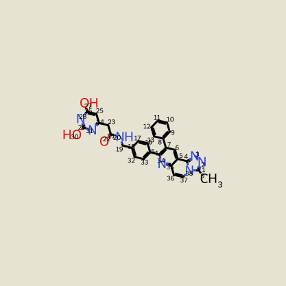 Cc1nnc2c3cc(-c4ccccc4)c(-c4ccc(CNC(=O)Cc5cc(O)nc(O)n5)cc4)nc3ccn12